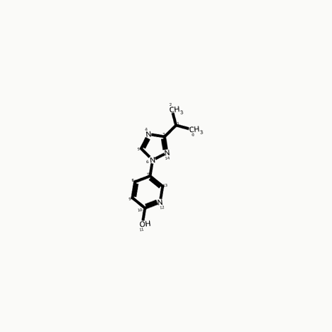 CC(C)c1ncn(-c2ccc(O)nc2)n1